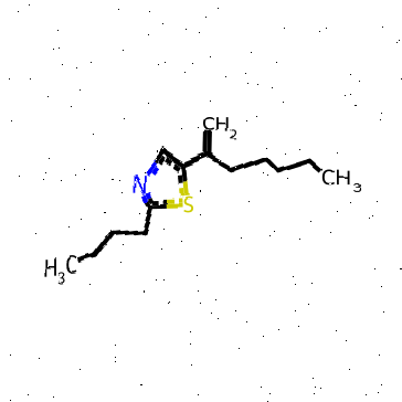 C=C(CCCCC)c1cnc(CCCC)s1